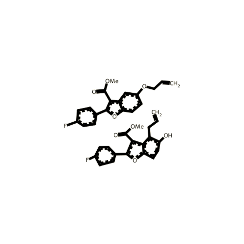 C=CCOc1ccc2oc(-c3ccc(F)cc3)c(C(=O)OC)c2c1.C=CCc1c(O)ccc2oc(-c3ccc(F)cc3)c(C(=O)OC)c12